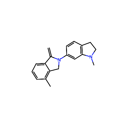 C=C1c2cccc(C)c2CN1c1ccc2c(c1)N(C)CC2